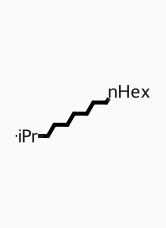 [CH2]CCCCCCCCCCCC[C](C)C